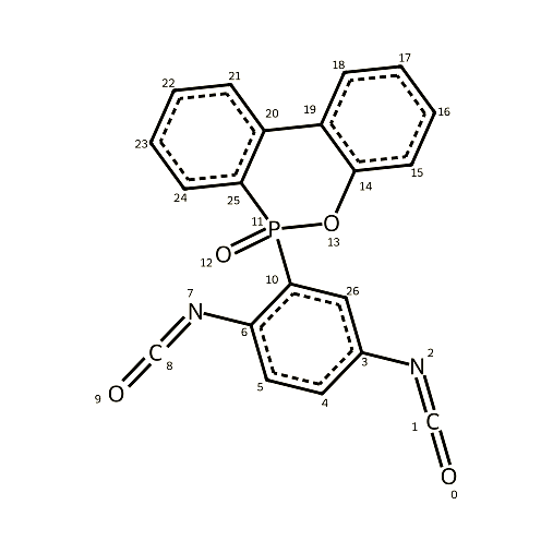 O=C=Nc1ccc(N=C=O)c(P2(=O)Oc3ccccc3-c3ccccc32)c1